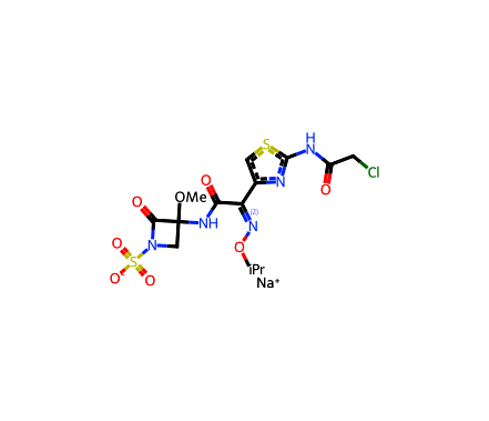 COC1(NC(=O)/C(=N\OC(C)C)c2csc(NC(=O)CCl)n2)CN(S(=O)(=O)[O-])C1=O.[Na+]